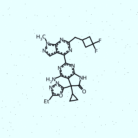 CCc1nnc(C2(C3CC3)C(=O)Nc3nc(-c4nc(CC5CC(F)(F)C5)nc5c4cnn5C)nc(N)c32)o1